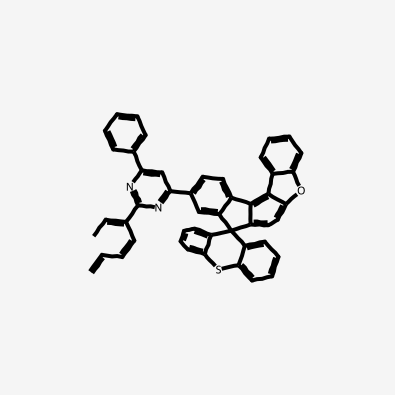 C=C/C=C\C(=C/C)c1nc(-c2ccccc2)cc(-c2ccc3c(c2)C2(c4ccccc4Sc4ccccc42)c2ccc4oc5ccccc5c4c2-3)n1